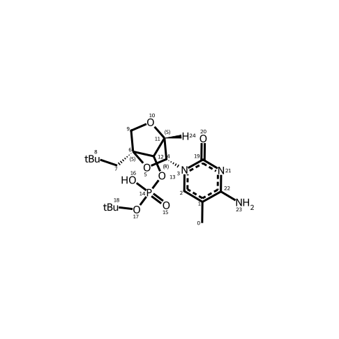 Cc1cn([C@@H]2O[C@@]3(CC(C)(C)C)CO[C@H]2C3OP(=O)(O)OC(C)(C)C)c(=O)nc1N